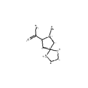 CC(C)C(=O)C1CC2(CN1C(C)C)SCCS2